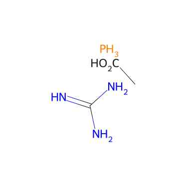 CC(=O)O.N=C(N)N.P